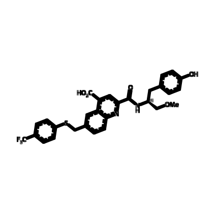 COC[C@H](Cc1ccc(O)cc1)NC(=O)c1cc(C(=O)O)c2cc(CSc3ccc(C(F)(F)F)cc3)ccc2n1